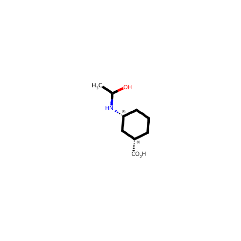 CC(O)N[C@@H]1CCC[C@H](C(=O)O)C1